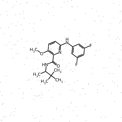 COc1ccc(Nc2cc(F)cc(F)c2)nc1C(=O)NC(C)C(C)(C)C